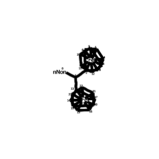 CCCCCCCCCC([C]12[CH]3[CH]4[CH]5[CH]1[Fe]45321678[CH]2[CH]1[CH]6[CH]7[CH]28)[C]12[CH]3[CH]4[CH]5[CH]1[Fe]45321678[CH]2[CH]1[CH]6[CH]7[CH]28